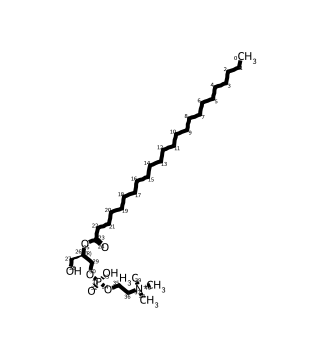 CCCCCCCCCCCCCCCCCCCCCCCC(=O)O[C@H](CO)COP(=O)(O)OCC[N+](C)(C)C